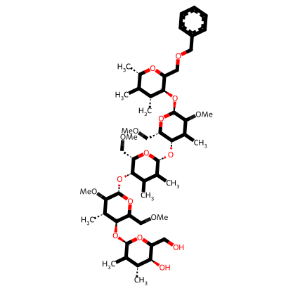 COCC1O[C@@H](O[C@H]2C(C)C(C)[C@@H](O[C@H]3C(C)C(OC)[C@H](O[C@@H]4C(COCc5ccccc5)O[C@@H](C)C(C)[C@H]4C)O[C@H]3COC)O[C@H]2COC)C(OC)[C@@H](C)[C@@H]1O[C@H]1OC(CO)[C@@H](O)[C@H](C)C1C